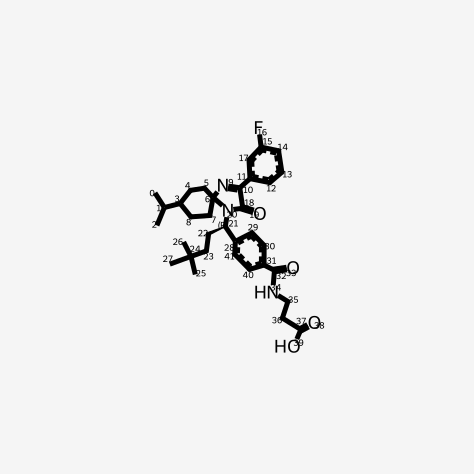 CC(C)C1CCC2(CC1)N=C(c1cccc(F)c1)C(=O)N2[C@H](CCC(C)(C)C)c1ccc(C(=O)NCCC(=O)O)cc1